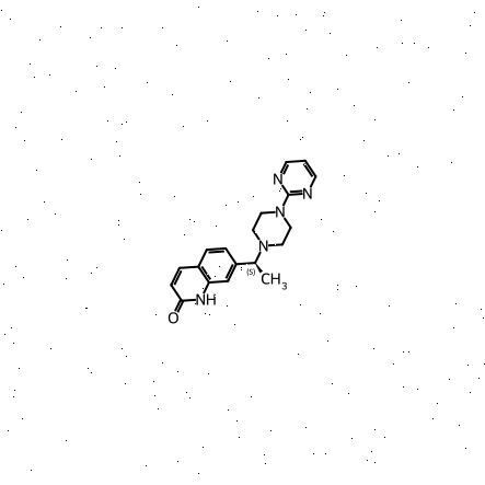 C[C@@H](c1ccc2ccc(=O)[nH]c2c1)N1CCN(c2ncccn2)CC1